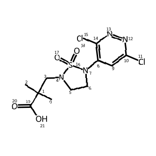 CC(C)(CN1CCN(c2cc(Cl)nnc2Cl)S1(=O)=O)C(=O)O